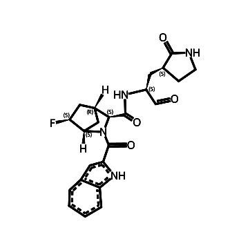 O=C[C@H](C[C@@H]1CCNC1=O)NC(=O)[C@@H]1[C@H]2C[C@H](F)[C@H](C2)N1C(=O)c1cc2ccccc2[nH]1